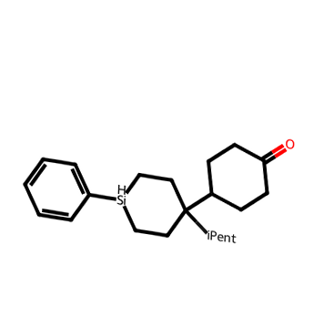 CCCC(C)C1(C2CCC(=O)CC2)CC[SiH](c2ccccc2)CC1